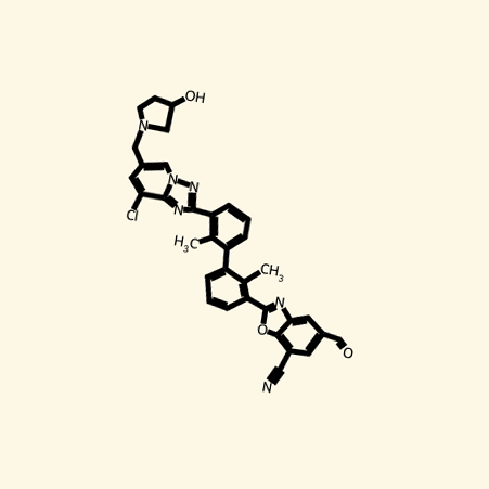 Cc1c(-c2nc3c(Cl)cc(CN4CCC(O)C4)cn3n2)cccc1-c1cccc(-c2nc3cc(C=O)cc(C#N)c3o2)c1C